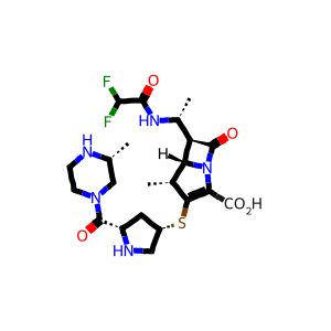 C[C@@H]1CN(C(=O)[C@@H]2C[C@H](SC3=C(C(=O)O)N4C(=O)[C@H]([C@@H](C)NC(=O)C(F)F)[C@H]4[C@H]3C)CN2)CCN1